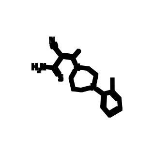 C/C(=C(\C#N)C(N)=S)N1CCCN(c2ccccc2C)CC1